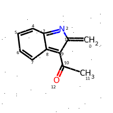 C=C1N=c2ccccc2=C1C(C)=O